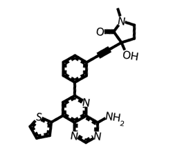 CN1CCC(O)(C#Cc2cccc(-c3cc(-c4cccs4)c4ncnc(N)c4n3)c2)C1=O